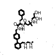 CNCNCc1ccccc1-c1ccc(CNC(=O)[C@@H](CCc2ccccc2)NC(=O)CC(C)(C)NC[C@H](O)CO)cc1